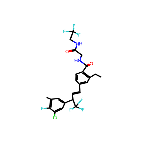 CCc1cc(/C=C/C(c2cc(C)c(F)c(Cl)c2)C(F)(F)F)ccc1C(=O)NCC(=O)NCC(F)(F)F